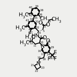 CCOC(=O)C[C@H](NC(=O)C(CC(C)C)n1cc(CCN2CCC2)c(C(F)(F)F)cc1=O)c1cc(-c2c(C)cccc2C)cc(C)c1F